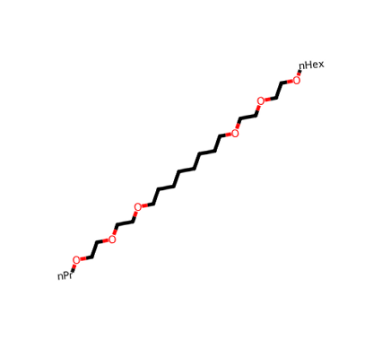 CCCCCCOCCOCCOCCCCCCCCOCCOCCOCCC